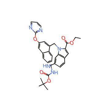 CCOC(=O)c1cc2ccc(C(=N)NC(=O)OC(C)(C)C)cc2n1Cc1cc(Oc2ncccn2)cc2ccccc12